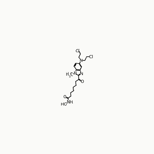 Cn1c(C(=O)CCCCCCC(=O)NO)nc2cc(N(CCCl)CCCl)ccc21